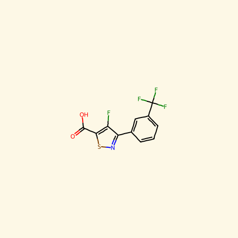 O=C(O)c1snc(-c2cccc(C(F)(F)F)c2)c1F